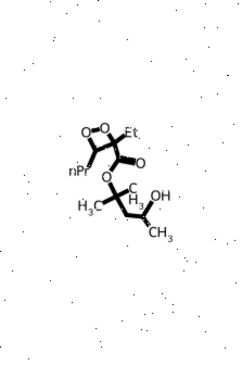 CCCC1OOC1(CC)C(=O)OC(C)(C)CC(C)O